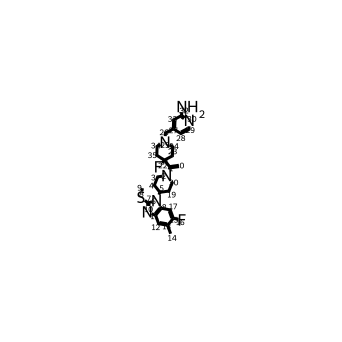 C=C(N1CCC(n2c(SC)nc3cc(C)c(F)cc32)CC1)C1(F)CCN(Cc2ccnc(N)c2)CC1